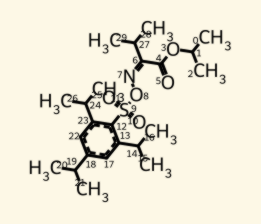 CC(C)OC(=O)/C(=N\OS(=O)(=O)c1c(C(C)C)cc(C(C)C)cc1C(C)C)C(C)C